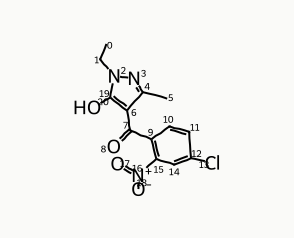 CCn1nc(C)c(C(=O)c2ccc(Cl)cc2[N+](=O)[O-])c1O